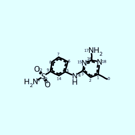 Cc1cc(Nc2cccc(S(N)(=O)=O)c2)nc(N)n1